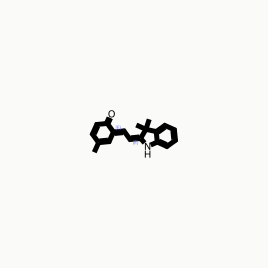 CC1=C/C(=C\C=C2\Nc3ccccc3C2(C)C)C(=O)C=C1